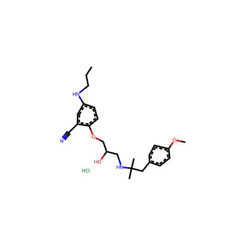 CCCNc1ccc(OCC(O)CNC(C)(C)Cc2ccc(OC)cc2)c(C#N)c1.Cl